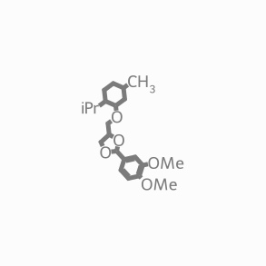 COc1ccc(C2OCC(COC3CC(C)CCC3C(C)C)O2)cc1OC